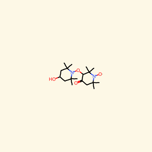 CC1(C)CC(O)CC(C)(C)N1OC1C(=O)CC(C)(C)N([O])C1(C)C